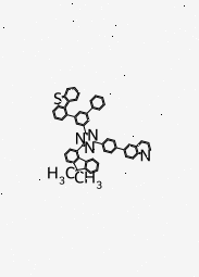 CC1(C)c2ccccc2-c2c(-c3nc(-c4ccc(-c5ccc6ncccc6c5)cc4)nc(-c4cc(-c5ccccc5)cc(-c5cccc6sc7ccccc7c56)c4)n3)cccc21